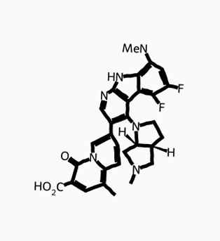 CNc1cc(F)c(F)c2c1[nH]c1ncc(-c3ccc4c(C)cc(C(=O)O)c(=O)n4c3)c(N3CC[C@@H]4CN(C)C[C@@H]43)c12